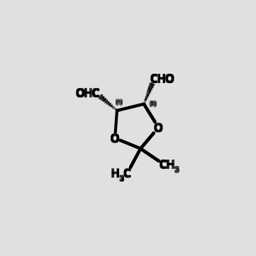 CC1(C)O[C@@H](C=O)[C@@H](C=O)O1